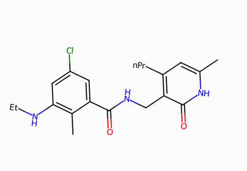 CCCc1cc(C)[nH]c(=O)c1CNC(=O)c1cc(Cl)cc(NCC)c1C